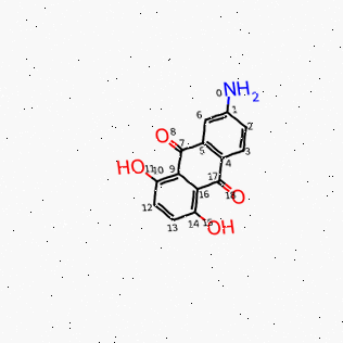 Nc1ccc2c(c1)C(=O)c1c(O)ccc(O)c1C2=O